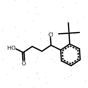 CC(C)(C)c1ccccc1C(Cl)CCC(=O)O